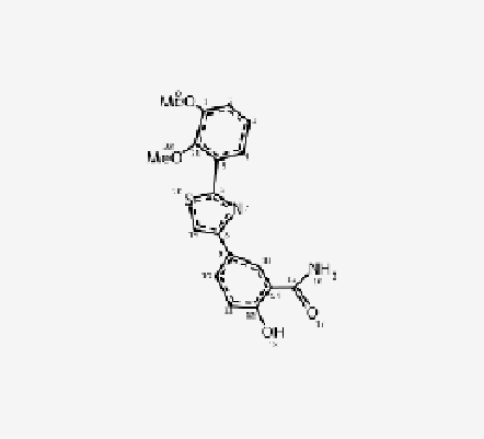 COc1cccc(-c2nc(-c3ccc(O)c(C(N)=O)c3)cs2)c1OC